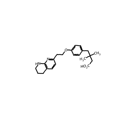 CC(C)(CC(=O)O)Cc1ccc(OCCc2ccc3c(n2)NCCC3)cc1